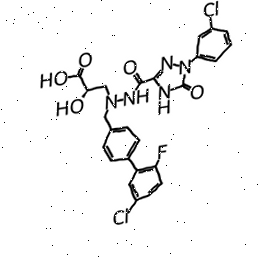 O=C(NN(Cc1ccc(-c2cc(Cl)ccc2F)cc1)C[C@@H](O)C(=O)O)c1nn(-c2cccc(Cl)c2)c(=O)[nH]1